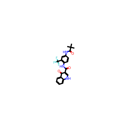 CC(C)(C)C(=O)Nc1ccc(NC(=O)c2c[nH]c3ccccc3c2=O)c(C(F)(F)F)c1